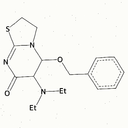 CCN(CC)C1C(=O)N=C2SCCN2C1OCc1ccccc1